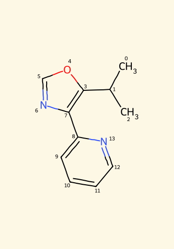 CC(C)c1ocnc1-c1ccccn1